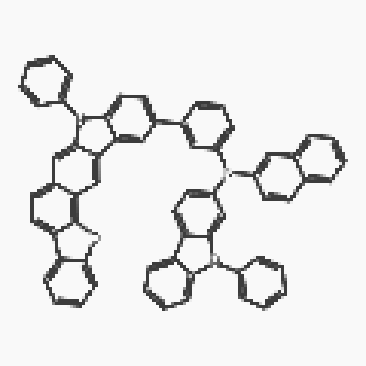 c1ccc(-n2c3ccccc3c3ccc(N(c4cccc(-c5ccc6c(c5)c5cc7c(ccc8c9ccccc9oc78)cc5n6-c5ccccc5)c4)c4ccc5ccccc5c4)cc32)cc1